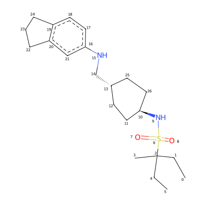 CCC(C)(CC)S(=O)(=O)N[C@H]1CC[C@H](CNc2ccc3c(c2)CCC3)CC1